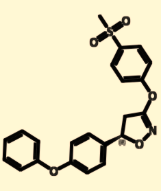 CS(=O)(=O)c1ccc(OC2=NO[C@@H](c3ccc(Oc4ccccc4)cc3)C2)cc1